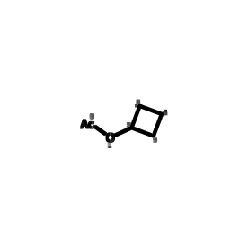 CC(=O)OC1[CH]CC1